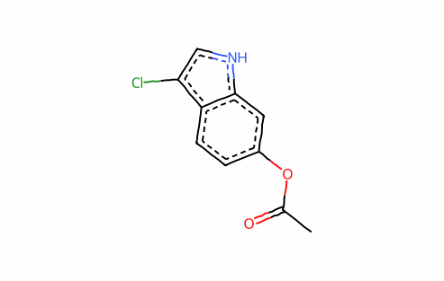 CC(=O)Oc1ccc2c(Cl)c[nH]c2c1